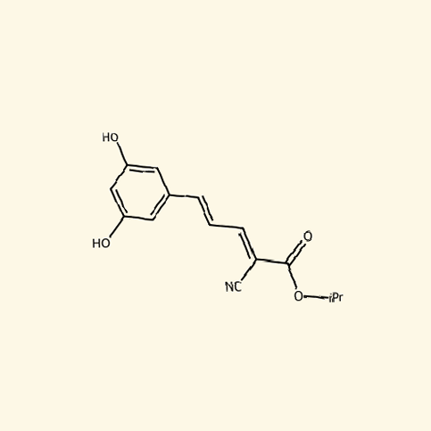 CC(C)OC(=O)/C(C#N)=C/C=C/c1cc(O)cc(O)c1